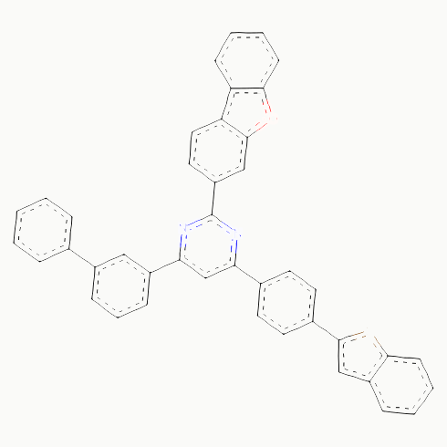 c1ccc(-c2cccc(-c3cc(-c4ccc(-c5cc6ccccc6s5)cc4)nc(-c4ccc5c(c4)oc4ccccc45)n3)c2)cc1